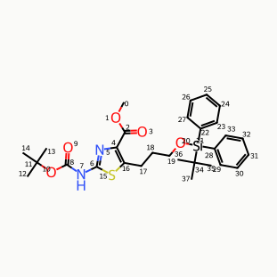 COC(=O)c1nc(NC(=O)OC(C)(C)C)sc1CCCO[Si](c1ccccc1)(c1ccccc1)C(C)(C)C